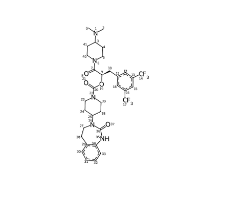 CN(C)C1CCN(C(=O)[C@@H](Cc2cc(C(F)(F)F)cc(C(F)(F)F)c2)OC(=O)N2CCC(N3CCc4ccccc4NC3=O)CC2)CC1